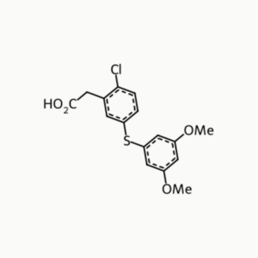 COc1cc(OC)cc(Sc2ccc(Cl)c(CC(=O)O)c2)c1